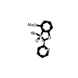 COc1cccc2c1P(=O)(C(C)(C)C)[C@H](c1ccccn1)O2